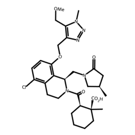 COCc1c(COc2ccc(Cl)c3c2[C@@H](CN2C[C@H](C)CC2=O)N(C(=O)[C@@H]2CCCC[C@]2(C)C(=O)O)CC3)nnn1C